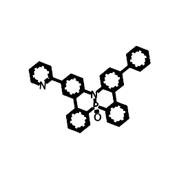 O=P12c3ccccc3-c3cc(-c4ccccc4)ccc3N1c1ccc(-c3ccccn3)cc1-c1ccccc12